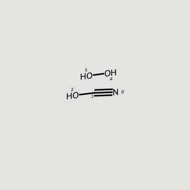 N#CO.OO